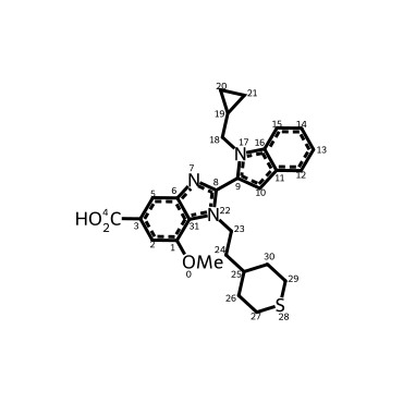 COc1cc(C(=O)O)cc2nc(-c3cc4ccccc4n3CC3CC3)n(CCC3CCSCC3)c12